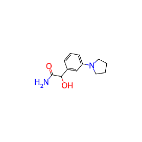 NC(=O)C(O)c1cccc(N2CCCC2)c1